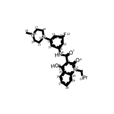 CC(C)Cn1c(=O)c(C(=O)Nc2cc(F)cc(N3CCN(C)CC3)c2)c(O)c2ccccc21